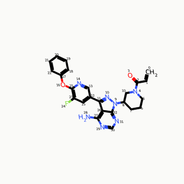 C=CC(=O)N1CCCC(n2nc(-c3cnc(Oc4ccccc4)c(F)c3)c3c(N)ncnc32)C1